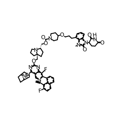 C#Cc1c(F)ccc2cccc(-c3ncc4c(N5CC6CCC(C5)N6)nc(OC[C@@]56CCCN5[C@H](COC(=O)N5CCC(OCCCc7cccc8c7n(C)c(=O)n8C7CCC(=O)NC7=O)CC5)CC6)nc4c3F)c12